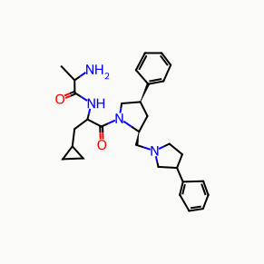 CC(N)C(=O)NC(CC1CC1)C(=O)N1C[C@@H](c2ccccc2)C[C@H]1CN1CCC(c2ccccc2)C1